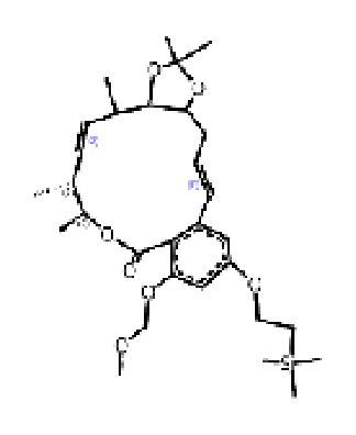 COCOc1cc(OCC[Si](C)(C)C)cc2c1C(=O)O[C@@H](C)[C@H](C)/C=C\C(C)C1OC(C)(C)OC1C/C=C/2